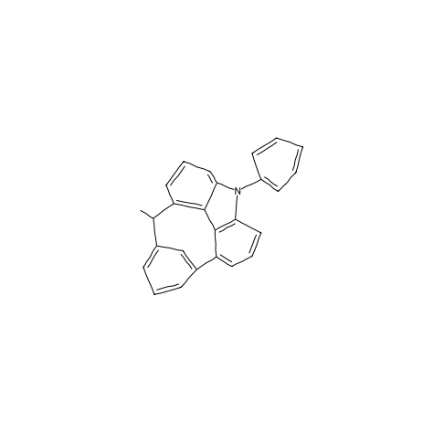 CC1c2cccc(c2)-c2cccc3c2c2c1cccc2n3-c1ccccc1